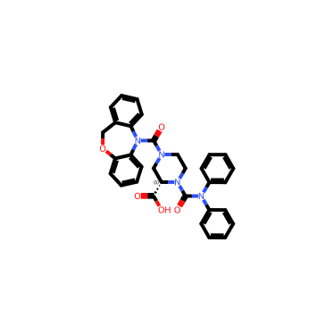 O=C(O)[C@@H]1CN(C(=O)N2c3ccccc3COc3ccccc32)CCN1C(=O)N(c1ccccc1)c1ccccc1